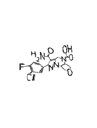 NC(=O)c1c(-c2ccc(F)c(Cl)c2)nn2c1CN(C(=O)O)C1COCC12